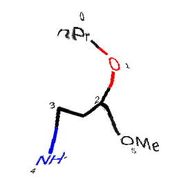 CCCOC(C[NH])OC